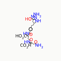 NC(=O)CC[C@@H](NC(=O)CC[C@H](NC(=O)c1ccc(CCC2CNc3nc(N)nc(O)c3C2)cc1)C(=O)O)C(=O)O